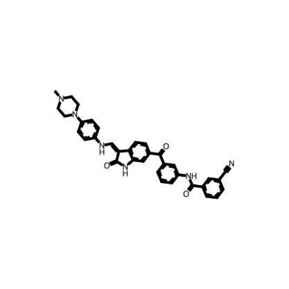 CN1CCN(c2ccc(NC=C3C(=O)Nc4cc(C(=O)c5cccc(NC(=O)c6cccc(C#N)c6)c5)ccc43)cc2)CC1